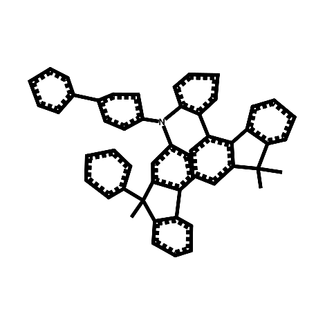 CC1(C)c2ccccc2-c2c(-c3ccccc3N(c3ccc(-c4ccccc4)cc3)c3ccc4c(c3)C(C)(c3ccccc3)c3ccccc3-4)cccc21